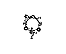 COCCNC(=O)[C@@H]1Cc2ccccc2CNC(=O)/C=C/C(O)N2CCC[C@H](C2)C(=O)N[C@@H](Cc2ccco2)C(=O)NCc2ccccc2CC(=O)N1